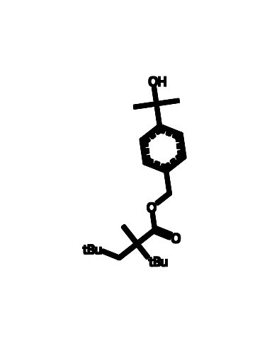 CC(C)(C)CC(C)(C(=O)OCc1ccc(C(C)(C)O)cc1)C(C)(C)C